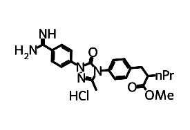 CCCC(Cc1ccc(-n2c(C)nn(-c3ccc(C(=N)N)cc3)c2=O)cc1)C(=O)OC.Cl